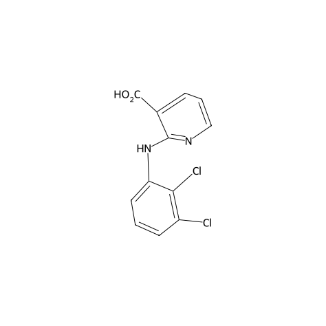 O=C(O)c1cccnc1Nc1cccc(Cl)c1Cl